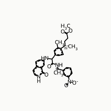 COC(=O)CC[C@H](C)c1ccc(C(Nc2ccc3cc[nH]c(=O)c3c2)C(=O)N[C@H](C)c2cccc([N+](=O)[O-])c2)cc1C